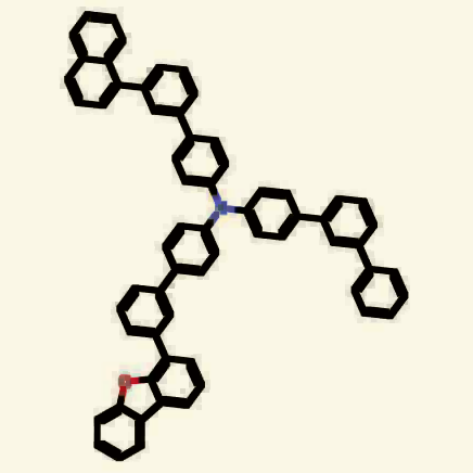 c1ccc(-c2cccc(-c3ccc(N(c4ccc(-c5cccc(-c6cccc7ccccc67)c5)cc4)c4ccc(-c5cccc(-c6cccc7c6oc6ccccc67)c5)cc4)cc3)c2)cc1